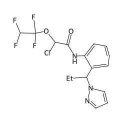 CCC(c1ccccc1NC(=O)C(Cl)OC(F)(F)C(F)F)n1cccn1